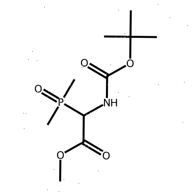 COC(=O)C(NC(=O)OC(C)(C)C)P(C)(C)=O